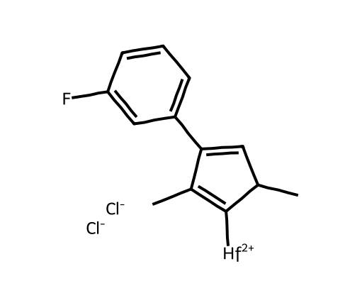 CC1=[C]([Hf+2])C(C)C=C1c1cccc(F)c1.[Cl-].[Cl-]